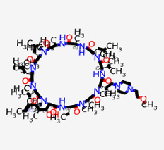 C/C=C/C[C@@H](C)[C@@H](O)[C@H]1C(=O)N[C@@H](CC)C(=O)N(C)[C@H](C)C(=O)N(C)[C@@H](C(C)CN2CCN(CCOC)CC2)C(=O)N[C@@H](C(C)C)C(=O)N(C)[C@@H](CC(C)C)C(=O)N[C@@H](C)C(=O)N[C@H](C)C(=O)N(C)[C@@H](CC(C)C)C(=O)N(C)[C@@H](CC(C)C)C(=O)N(C)[C@@H](C(C)C)C(=O)N1C